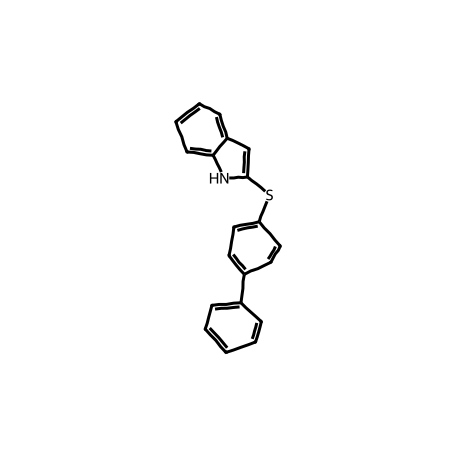 c1ccc(-c2ccc(Sc3cc4ccccc4[nH]3)cc2)cc1